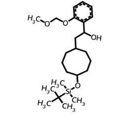 COCOc1ccccc1C(O)CC1CCCC(O[Si](C)(C)C(C)(C)C)CCC1